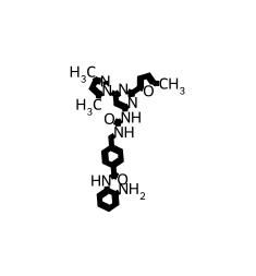 Cc1cc(C)n(-c2cc(NC(=O)NCc3ccc(C(=O)Nc4ccccc4N)cc3)nc(-c3ccc(C)o3)n2)n1